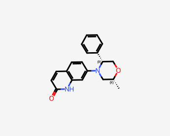 C[C@@H]1CN(c2ccc3ccc(=O)[nH]c3c2)[C@H](c2ccccc2)CO1